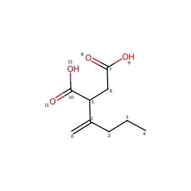 C=C(CCC)C(CC(=O)O)C(=O)O